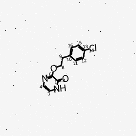 O=c1[nH]ccnc1OCCc1ccc(Cl)cc1